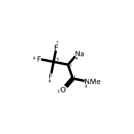 CNC(=O)[CH]([Na])C(F)(F)F